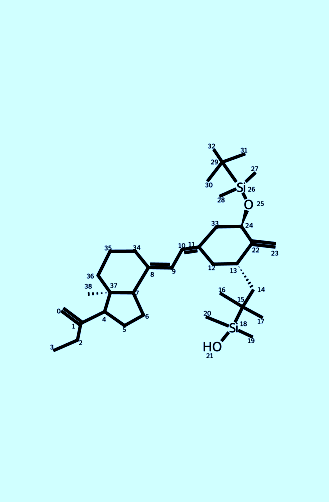 C=C(CC)C1CCC2/C(=C/C=C3\C[C@@H](CC(C)(C)[Si](C)(C)O)C(=C)[C@H](O[Si](C)(C)C(C)(C)C)C3)CCC[C@]12C